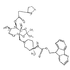 CC1(NC(=O)OCC2c3ccccc3-c3ccccc32)CCN(C[C@@]23OC[C@@H](O)[C@@H](OC(=O)CC4CCSS4)[C@@H]2OC(C)(C)O3)CC1